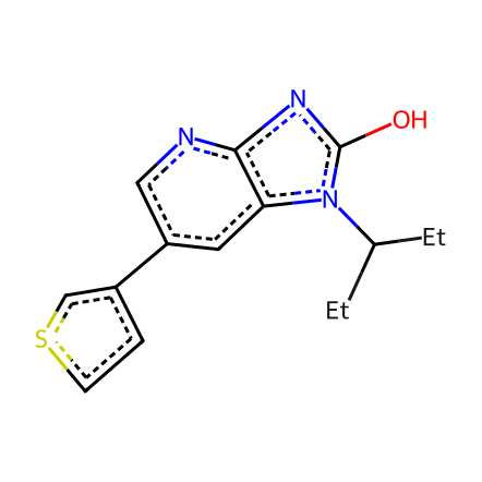 CCC(CC)n1c(O)nc2ncc(-c3ccsc3)cc21